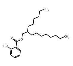 CCCCCCCCC(CCCCCC)COC(=O)c1ccccc1O